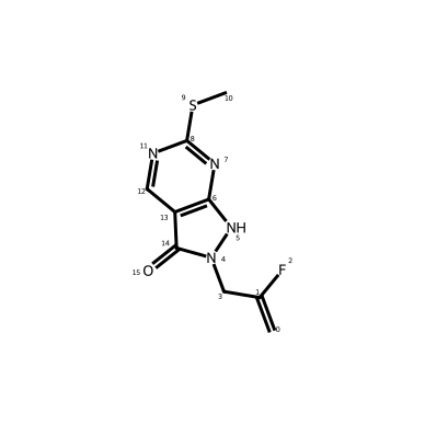 C=C(F)Cn1[nH]c2nc(SC)ncc2c1=O